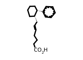 O=C(O)CCCC=CC[C@@H]1CCCC[C@@H]1c1ccccc1